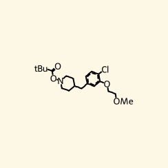 COCCOc1cc(CC2CCN(OC(=O)C(C)(C)C)CC2)ccc1Cl